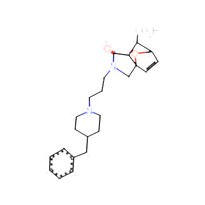 O=C(O)C1C2C=CC3(CN(CCCN4CCC(Cc5ccccc5)CC4)C(=O)C13)O2